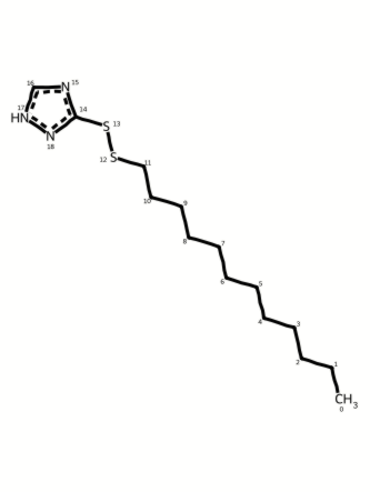 CCCCCCCCCCCCSSc1nc[nH]n1